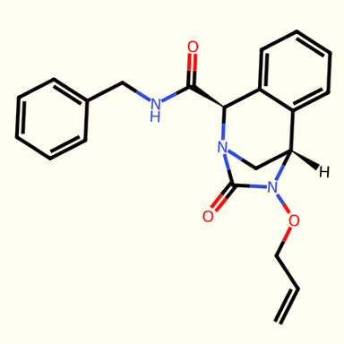 C=CCON1C(=O)N2C[C@@H]1c1ccccc1[C@@H]2C(=O)NCc1ccccc1